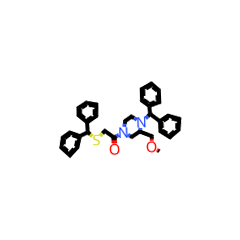 COCC1CN(C(=O)CSC(c2ccccc2)c2ccccc2)CCN1C(c1ccccc1)c1ccccc1